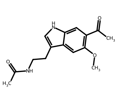 COc1cc2c(CCNC(C)=O)c[nH]c2cc1C(C)=O